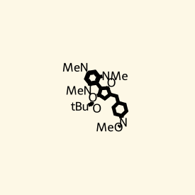 CNc1cc(NC)c(C2C(=O)C(CC3CCC(=NOC)CC3)CC2OC(=O)C(C)(C)C)c(NC)c1